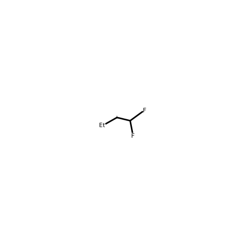 [CH2]C[CH]C(F)F